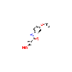 CN(C(=O)C12CC(O)(C1)C2)c1ccc(OC(F)(F)F)cc1